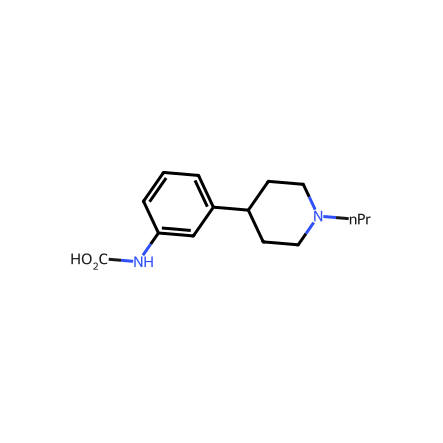 CCCN1CCC(c2cccc(NC(=O)O)c2)CC1